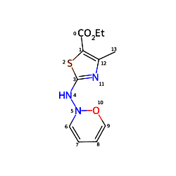 CCOC(=O)c1sc(NN2C=CC=CO2)nc1C